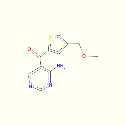 COCc1csc(C(=O)c2cncnc2N)c1